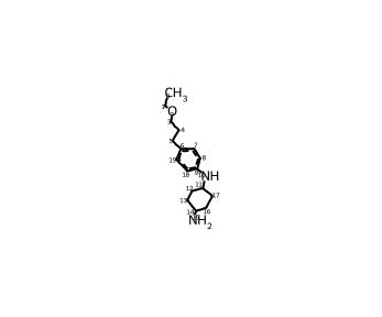 CCOCCCc1ccc(NC2CCC(N)CC2)cc1